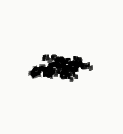 Cc1ccc(C(c2ccc3c(nnn3C)c2C)C(C)(C)C(=O)O)cc1Cn1ccnc1CN1CCCC1